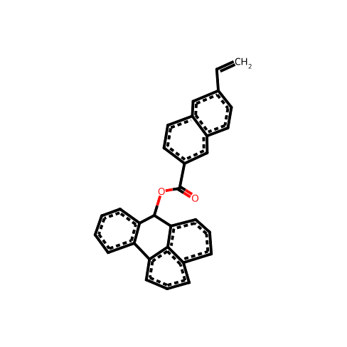 C=Cc1ccc2cc(C(=O)OC3c4ccccc4-c4cccc5cccc3c45)ccc2c1